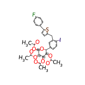 CC(=O)O[C@H]1OC(c2ccc(I)c(Cc3ccc(-c4ccc(F)cc4)s3)c2)[C@H](OC(C)=O)[C@@H](OC(C)=O)[C@@H]1OC(C)=O